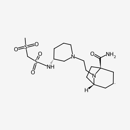 CS(=O)(=O)CS(=O)(=O)N[C@@H]1CCCN(CCN2[C@@H]3C[CH]C[C@@]2(C(N)=O)CC3)C1